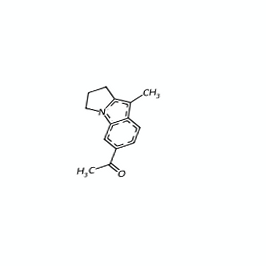 CC(=O)c1ccc2c(C)c3n(c2c1)CCC3